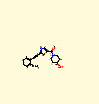 Cc1ccccc1C#Cc1ncc(C(=O)N2CCC(O)CC2)s1